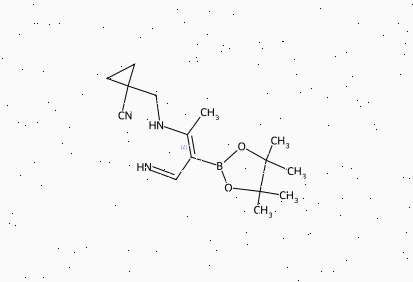 C/C(NCC1(C#N)CC1)=C(/C=N)B1OC(C)(C)C(C)(C)O1